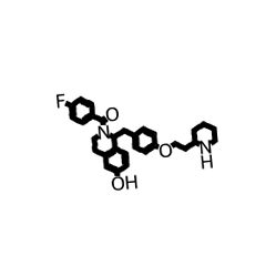 O=C(c1ccc(F)cc1)N1CCc2cc(O)ccc2C1Cc1ccc(OCCC2CCCCN2)cc1